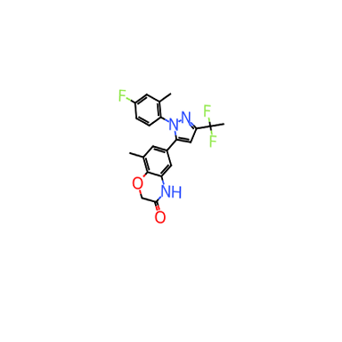 Cc1cc(F)ccc1-n1nc(C(C)(F)F)cc1-c1cc(C)c2c(c1)NC(=O)CO2